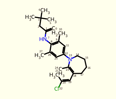 C=C(CC(C)(C)C)Nc1c(C)cc(N2CCCCC(/C=C(\C)Cl)=C2C)cc1C